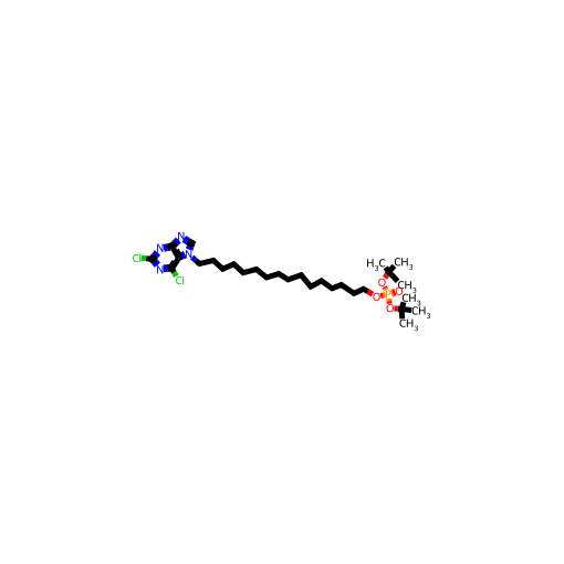 CC(C)(C)OP(=O)(OCCCCCCCCCCCCCCCCn1cnc2nc(Cl)nc(Cl)c21)OC(C)(C)C